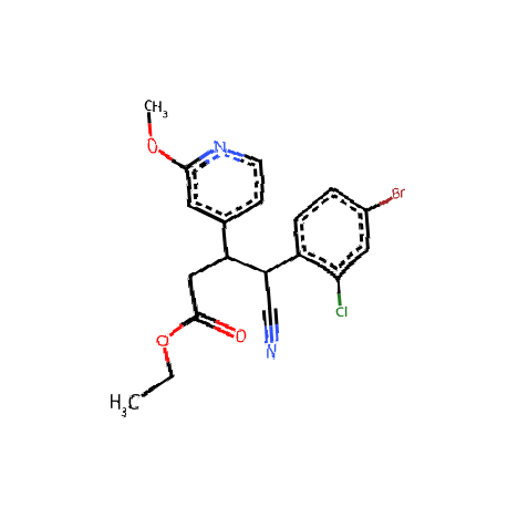 CCOC(=O)CC(c1ccnc(OC)c1)C(C#N)c1ccc(Br)cc1Cl